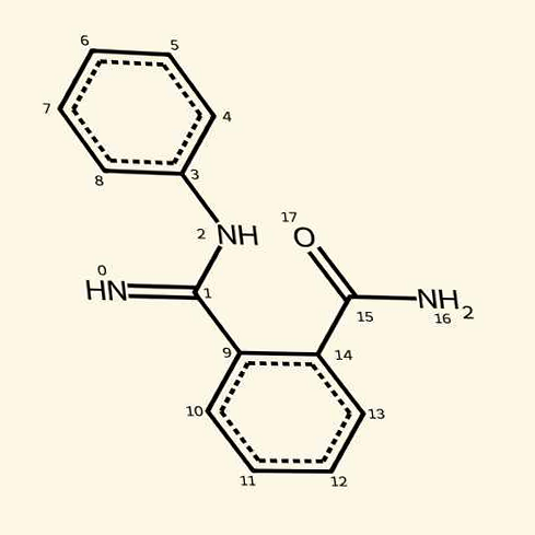 N=C(Nc1ccccc1)c1ccccc1C(N)=O